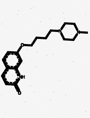 CN1CCN(CCCCOc2ccc3ccc(=O)[nH]c3c2)CC1